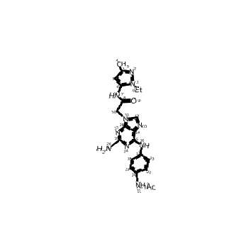 CCn1nc(C)cc1NC(=O)Cn1cnc2c(Nc3ccc(NC(C)=O)cc3)nc(N)nc21